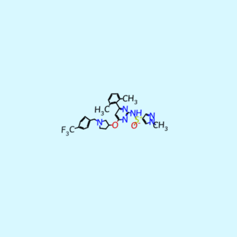 Cc1cccc(C)c1-c1cc(OC2CCN(Cc3ccc(C(F)(F)F)cc3)C2)nc(N[S+]([O-])c2cnn(C)c2)n1